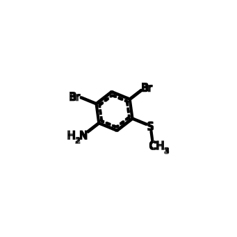 CSc1cc(N)c(Br)cc1Br